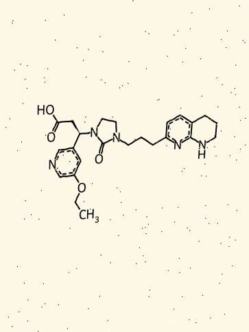 CCOc1cncc([C@@H](CC(=O)O)N2CCN(CCCc3ccc4c(n3)NCCC4)C2=O)c1